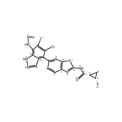 CNNc1c(F)c(Cl)c(-c2ccc3nc(NC(=O)[C@@H]4C[C@@H]4F)sc3n2)c2cn[nH]c12